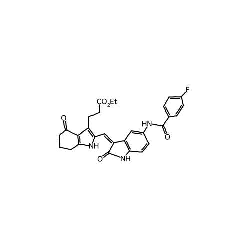 CCOC(=O)CCc1c(/C=C2\C(=O)Nc3ccc(NC(=O)c4ccc(F)cc4)cc32)[nH]c2c1C(=O)CCC2